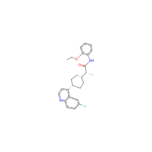 CCOc1ccccc1NC(=O)[C@H](C)[C@H]1CC[C@@H](c2ccnc3ccc(F)cc32)CC1